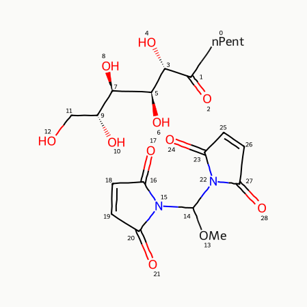 CCCCCC(=O)[C@@H](O)[C@@H](O)[C@H](O)[C@H](O)CO.COC(N1C(=O)C=CC1=O)N1C(=O)C=CC1=O